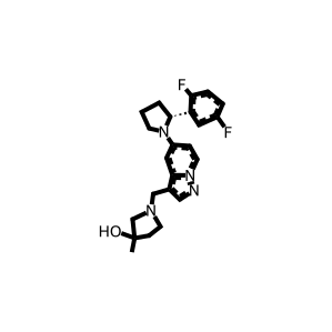 CC1(O)CCN(Cc2cnn3ccc(N4CCC[C@@H]4c4cc(F)ccc4F)cc23)C1